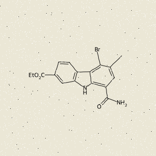 CCOC(=O)c1ccc2c(c1)[nH]c1c(C(N)=O)cc(C)c(Br)c12